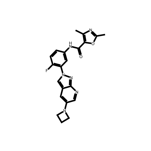 Cc1nc(C)c(C(=O)Nc2ccc(F)c(-n3cc4cc(N5CCC5)cnc4n3)c2)o1